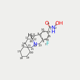 O=C(NO)c1cc(F)c2c(c1)C[C@H]1CCC3(CCCCC3)CN1C2